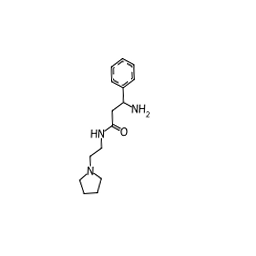 NC(CC(=O)NCCN1CCCC1)c1ccccc1